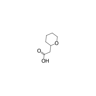 O=C(O)CC1CCCCO1